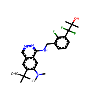 CC(C)N(C)c1cc2c(NCc3cccc(C(F)(F)C(C)(C)O)c3F)nncc2cc1C(C)(C)C=O